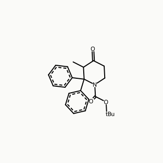 CC1C(=O)CCN(C(=O)OC(C)(C)C)C1(c1ccccc1)c1ccccc1